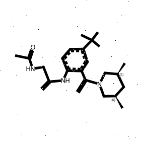 C=C(CNC(C)=O)Nc1ccc(C(C)(C)C)cc1C(=C)N1C[C@H](C)C[C@H](C)C1